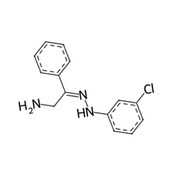 NCC(=NNc1cccc(Cl)c1)c1ccccc1